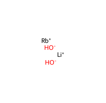 [Li+].[OH-].[OH-].[Rb+]